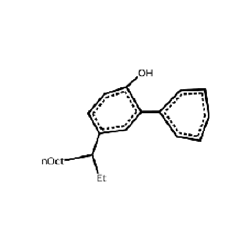 CCCCCCCCC(CC)c1ccc(O)c(-c2ccccc2)c1